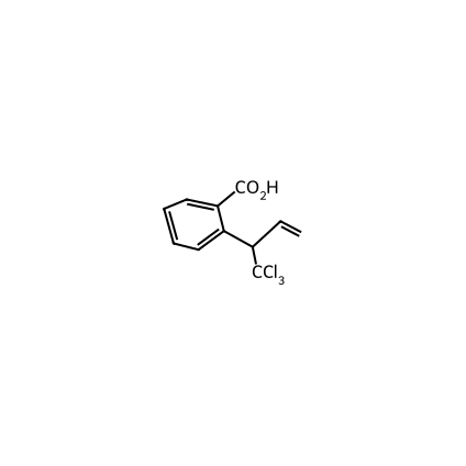 C=CC(c1ccccc1C(=O)O)C(Cl)(Cl)Cl